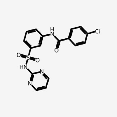 O=C(Nc1cccc(S(=O)(=O)Nc2ncccn2)c1)c1ccc(Cl)cc1